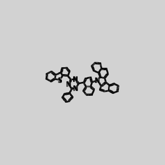 c1ccc(-c2nc(-c3ccc(-n4c5ccc6ccccc6c5c5ccc6ccccc6c54)c4ccccc34)nc(-c3cccc4c3sc3ccccc34)n2)cc1